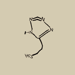 OCc1nnn[nH]1